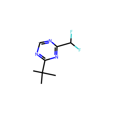 CC(C)(C)c1n[c]nc(C(F)F)n1